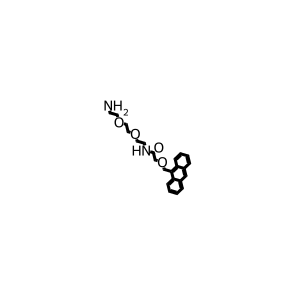 NCCOCCOCCNC(=O)COCc1c2ccccc2cc2ccccc12